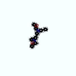 c1ccc(-c2ccc(N(c3ccc(-c4ccc5c(c4)c4ccccc4n5-c4cccc5c4oc4ccccc45)cc3)c3ccc4c(c3)oc3ccccc34)cc2)cc1